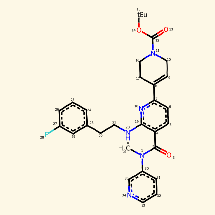 CN(C(=O)c1ccc(C2=CCN(C(=O)OC(C)(C)C)CC2)nc1NCCc1cccc(F)c1)c1cccnc1